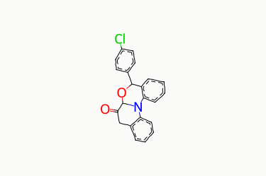 O=C1Cc2ccccc2N2c3ccccc3C(c3ccc(Cl)cc3)OC12